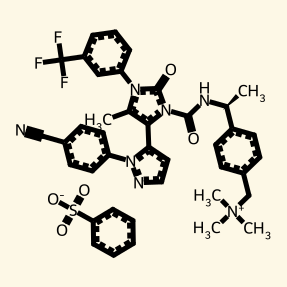 Cc1c(-c2ccnn2-c2ccc(C#N)cc2)n(C(=O)N[C@@H](C)c2ccc(C[N+](C)(C)C)cc2)c(=O)n1-c1cccc(C(F)(F)F)c1.O=S(=O)([O-])c1ccccc1